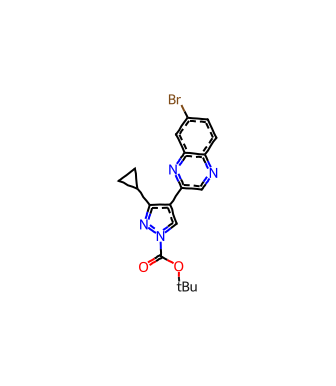 CC(C)(C)OC(=O)n1cc(-c2cnc3ccc(Br)cc3n2)c(C2CC2)n1